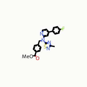 COC(=O)c1ccc(CN(c2cc(-c3ccc(F)cc3)ccn2)c2nc(C)ns2)cc1